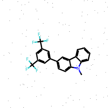 Cn1c2ccccc2c2cc(-c3cc(C(F)(F)F)cc(C(F)(F)F)c3)ccc21